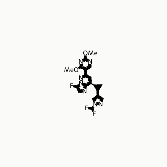 COc1ncc(-c2cc([C@H]3CC3c3cnn(C(F)F)c3)c3ncc(F)n3n2)c(OC)n1